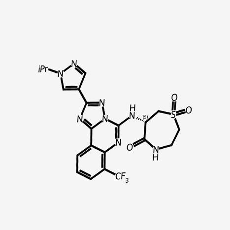 CC(C)n1cc(-c2nc3c4cccc(C(F)(F)F)c4nc(N[C@@H]4CS(=O)(=O)CCNC4=O)n3n2)cn1